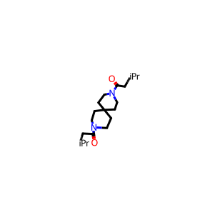 CC(C)CC(=O)N1CCC2(CC1)CCN(C(=O)CC(C)C)CC2